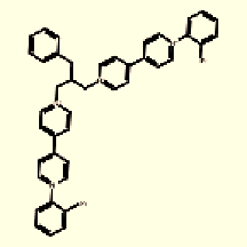 CC(C)c1ccccc1-[n+]1ccc(-c2cc[n+](CC(Cc3ccccc3)C[n+]3ccc(-c4cc[n+](-c5ccccc5C(C)C)cc4)cc3)cc2)cc1